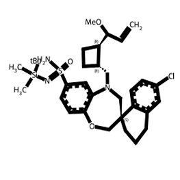 C=CC(OC)[C@@H]1CC[C@H]1CN1C[C@@]2(CCCc3cc(Cl)ccc32)COc2ccc(S(N)(=O)=N[Si](C)(C)C(C)(C)C)cc21